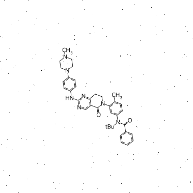 Cc1ccc(N(C(=O)c2ccccc2)C(C)(C)C)cc1N1CCc2nc(Nc3ccc(N4CCN(C)CC4)cc3)ncc2C1=O